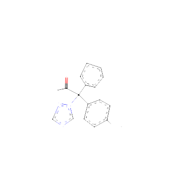 COc1ccc(C(C(=O)C(C)(C)C)(c2ccccc2)n2cncn2)cc1